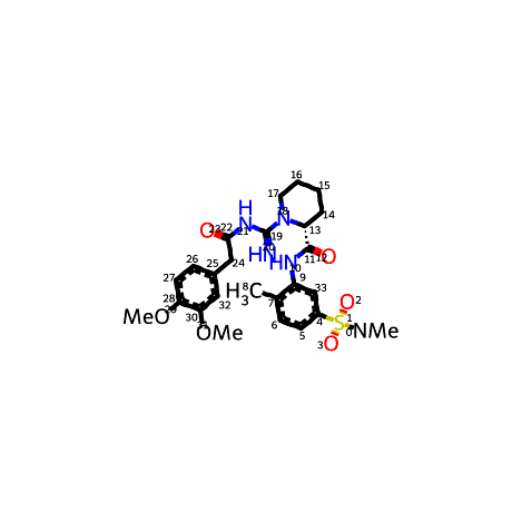 CNS(=O)(=O)c1ccc(C)c(NC(=O)[C@H]2CCCCN2C(=N)NC(=O)Cc2ccc(OC)c(OC)c2)c1